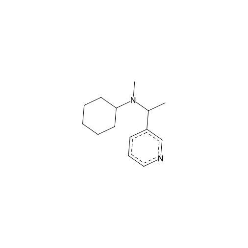 CC(c1cccnc1)N(C)C1CCCCC1